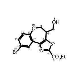 CCOC(=O)c1nc2c(s1)C(CO)COc1ccc(Br)cc1-2